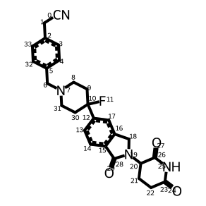 N#CCc1ccc(CN2CCC(F)(c3ccc4c(c3)CN(C3CCC(=O)NC3=O)C4=O)CC2)cc1